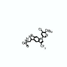 CC(C)COc1ncc(-n2cc(C(F)(F)F)c3cc4c(CN[SH](=O)=O)noc4cc32)cc1Cl